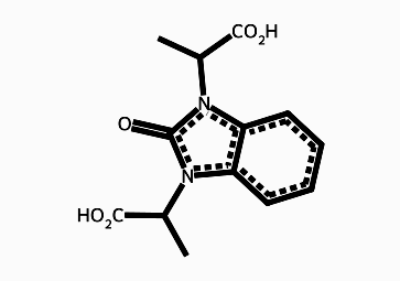 CC(C(=O)O)n1c(=O)n(C(C)C(=O)O)c2ccccc21